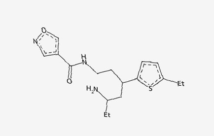 CCc1ccc(C(CCNC(=O)c2cnoc2)CC(N)CC)s1